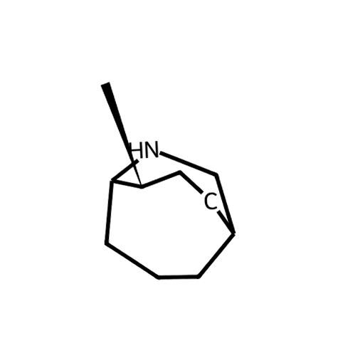 C[C@@H]1CCC2CCCC1NC2